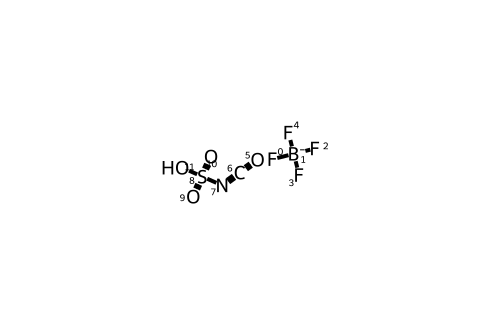 F[B-](F)(F)F.O=C=NS(=O)(=O)O